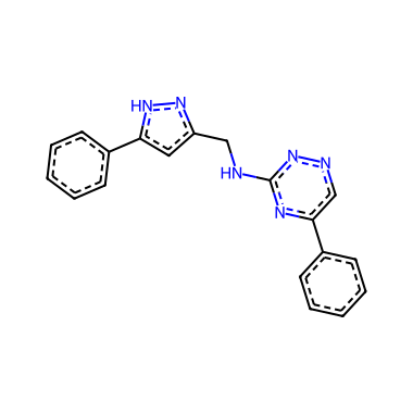 c1ccc(-c2cnnc(NCc3cc(-c4ccccc4)[nH]n3)n2)cc1